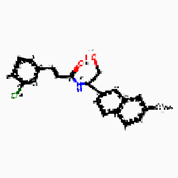 COc1ccc2ccc(C(CO)NC(=O)C=Cc3cccc(Cl)c3)cc2c1